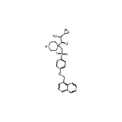 O=C(N(O)C1CC1)C1(CS(=O)(=O)c2ccc(OCc3cccc4cnccc34)cc2)CCNCC1